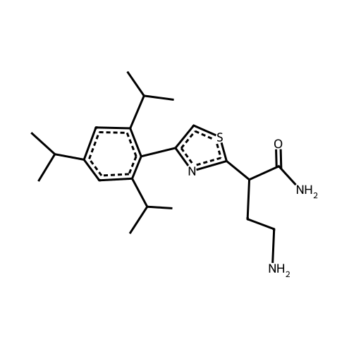 CC(C)c1cc(C(C)C)c(-c2csc(C(CCN)C(N)=O)n2)c(C(C)C)c1